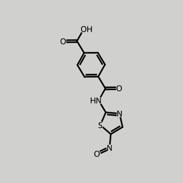 O=Nc1cnc(NC(=O)c2ccc(C(=O)O)cc2)s1